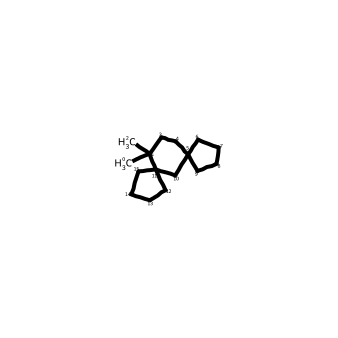 CC1(C)CCC2(CCCC2)CC12CCCC2